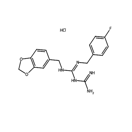 Cl.N=C(N)NC(=NCc1ccc(F)cc1)NCc1ccc2c(c1)OCO2